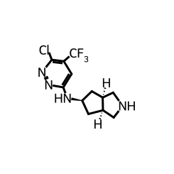 FC(F)(F)c1cc(N[C@H]2C[C@H]3CNC[C@H]3C2)nnc1Cl